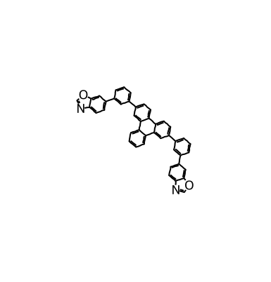 c1cc(-c2ccc3ncoc3c2)cc(-c2ccc3c4ccc(-c5cccc(-c6ccc7ncoc7c6)c5)cc4c4ccccc4c3c2)c1